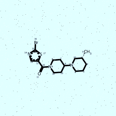 C[C@@H]1CCCN(C2CCN(C(=O)c3cnc(Br)s3)CC2)C1